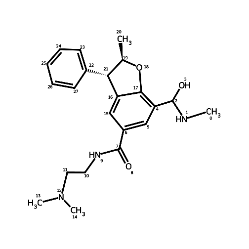 CNC(O)c1cc(C(=O)NCCN(C)C)cc2c1O[C@H](C)[C@H]2c1ccccc1